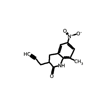 C#CCC1Cc2cc([N+](=O)[O-])cc(C)c2NC1=O